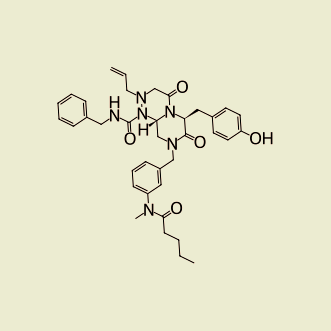 C=CCN1CC(=O)N2[C@@H](Cc3ccc(O)cc3)C(=O)N(Cc3cccc(N(C)C(=O)CCCC)c3)C[C@@H]2N1C(=O)NCc1ccccc1